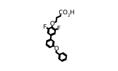 O=C(O)CCCOc1c(F)cc(-c2cccc(OCc3ccccc3)c2)cc1F